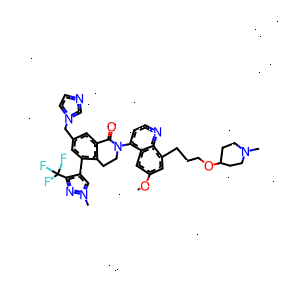 COc1cc(CCCOC2CCN(C)CC2)c2nccc(N3CCc4c(cc(Cn5ccnc5)cc4-c4cn(C)nc4C(F)(F)F)C3=O)c2c1